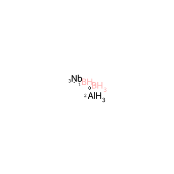 B.B.[AlH3].[Nb]